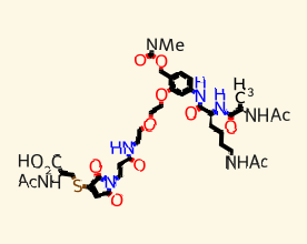 CNC(=O)OCc1ccc(NC(=O)[C@H](CCCCNC(C)=O)NC(=O)[C@H](C)NC(C)=O)cc1OCCOCCNC(=O)CCN1C(=O)C=C(SC[C@H](NC(C)=O)C(=O)O)C1=O